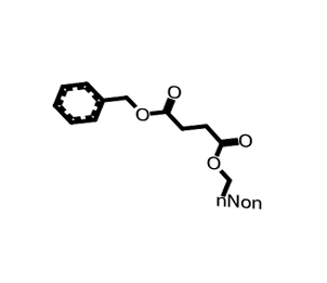 CCCCCCCCCCOC(=O)CCC(=O)OCc1ccccc1